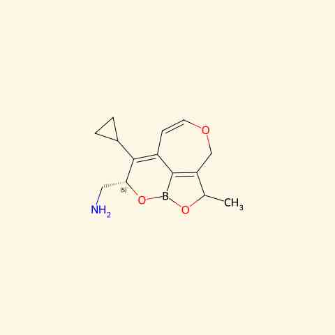 CC1OB2O[C@H](CN)C(C3CC3)=C3C=COCC1=C23